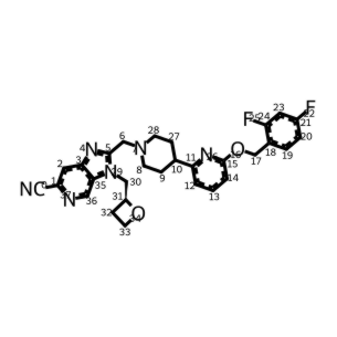 N#Cc1cc2nc(CN3CCC(c4cccc(OCc5ccc(F)cc5F)n4)CC3)n(C[C@@H]3CCO3)c2cn1